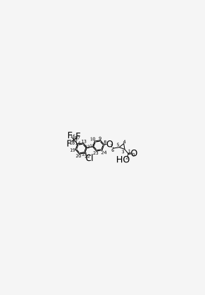 O=C(O)C1CC1COc1ccc(-c2cc(C(F)(F)F)ccc2Cl)cc1